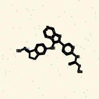 CC(C)(C)OC(=O)Nc1ccc(-c2nc3cnccn3c2Nc2ccc3c(c2)CC/C3=N\O)cn1